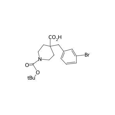 CC(C)(C)OC(=O)N1CCC(Cc2cccc(Br)c2)(C(=O)O)CC1